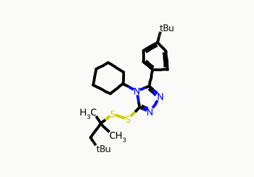 CC(C)(C)CC(C)(C)SSc1nnc(-c2ccc(C(C)(C)C)cc2)n1C1CCCCC1